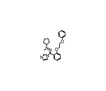 CN(/N=C(/c1ccccc1OCCOc1ccccc1)n1ccnc1)C1CCCC1